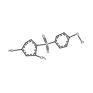 CCOc1ccc(S(=O)(=O)c2ccc(O)cc2C)cc1